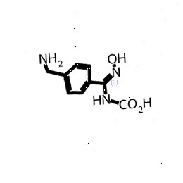 NCc1ccc(/C(=N\O)NC(=O)O)cc1